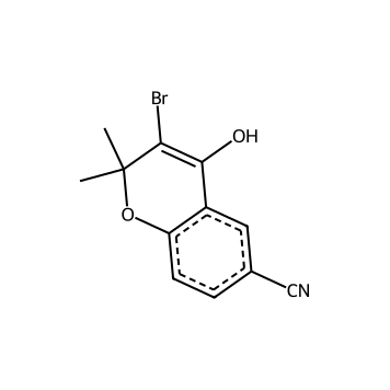 CC1(C)Oc2ccc(C#N)cc2C(O)=C1Br